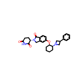 O=C1CC[C@H](N2Cc3cc(O[C@@H]4CCCC[C@@H]4N4CC(c5ccccc5)C4)ccc3C2=O)C(=O)N1